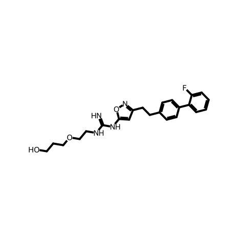 N=C(NCCOCCCO)Nc1cc(CCc2ccc(-c3ccccc3F)cc2)no1